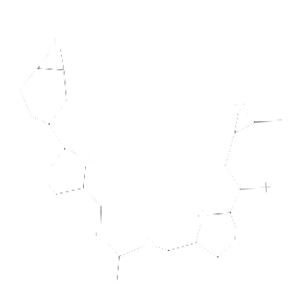 CCC(CC1OC1C)C1OCC(COC(C)OCC2COC(C3CCC4OC4C3)O2)O1